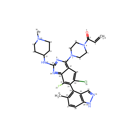 C=CC(=O)N1CCN(c2nc(NC3CCN(C(C)C)CC3)nc3c(F)c(-c4c(C)ccc5[nH]ncc45)c(Cl)cc23)CC1